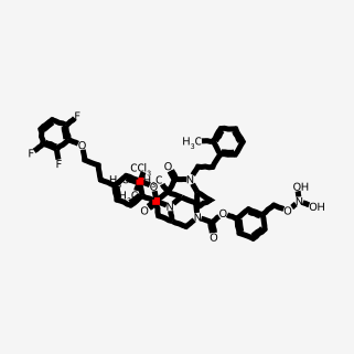 Cc1ccccc1CCN(C(=O)C1(C)C(c2ccc(CCCOc3c(F)ccc(F)c3F)cc2)CC2CN(C(=O)Oc3cccc(CON(O)O)c3)CC1N2C(=O)OC(C)(C)C(Cl)(Cl)Cl)C1CC1